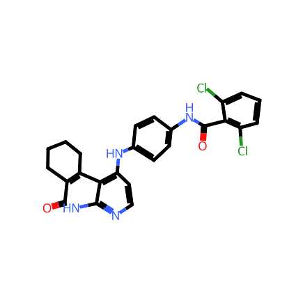 O=C(Nc1ccc(Nc2ccnc3[nH]c(=O)c4c(c23)CCCC4)cc1)c1c(Cl)cccc1Cl